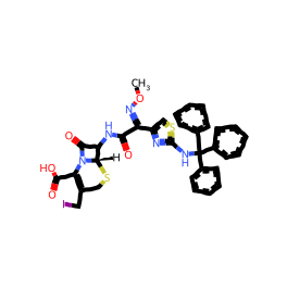 CON=C(C(=O)NC1C(=O)N2C(C(=O)O)=C(CI)CS[C@@H]12)c1csc(NC(c2ccccc2)(c2ccccc2)c2ccccc2)n1